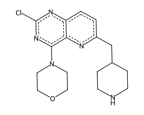 Clc1nc(N2CCOCC2)c2nc(CC3CCNCC3)ccc2n1